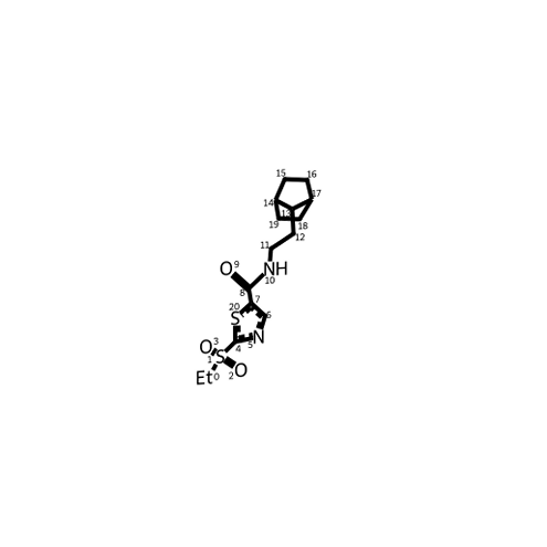 CCS(=O)(=O)c1ncc(C(=O)NCCC2C3CCC2CC3)s1